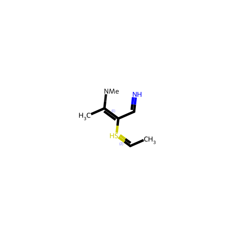 C/C=[SH]\C(C=N)=C(/C)NC